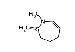 C=S1CCCC=CN1C